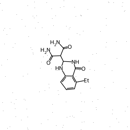 CCc1cccc2c1C(=O)NC(C(C(N)=O)C(N)=O)N2